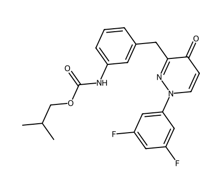 CC(C)COC(=O)Nc1cccc(Cc2nn(-c3cc(F)cc(F)c3)ccc2=O)c1